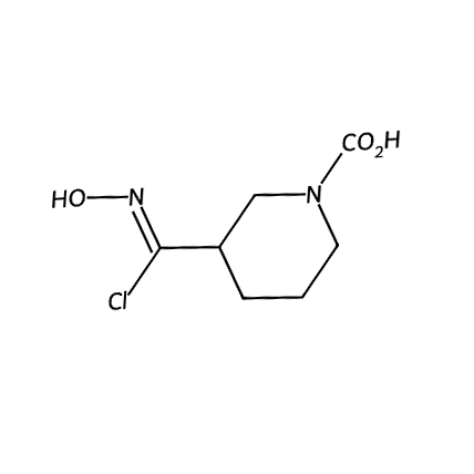 O=C(O)N1CCCC(C(Cl)=NO)C1